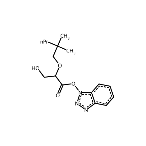 CCCC(C)(C)COC(CO)C(=O)On1nnc2ccccc21